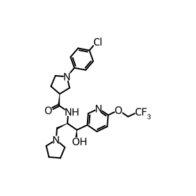 O=C(N[C@H](CN1CCCC1)[C@H](O)c1ccc(OCC(F)(F)F)nc1)[C@H]1CCN(c2ccc(Cl)cc2)C1